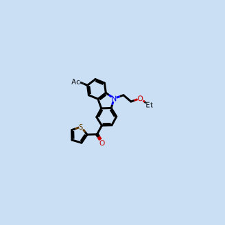 CCOCCn1c2ccc(C(C)=O)cc2c2cc(C(=O)c3cccs3)ccc21